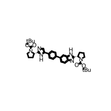 CC(C)(C)OC(=O)N1CCC[C@H]1c1ncc(-c2ccc(-c3ccc4nc([C@@H]5CCCN5C(=O)OC(C)(C)C)[nH]c4c3)cc2)[nH]1